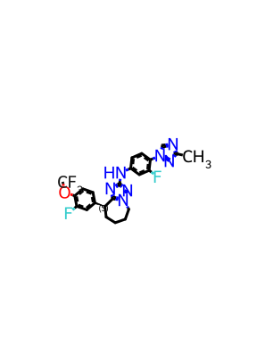 Cc1ncn(-c2ccc(Nc3nc4n(n3)CCCC[C@H]4c3ccc(OC(F)(F)F)c(F)c3)cc2F)n1